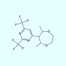 CC1OCCOC(C)C1c1cc(C(F)(F)F)nc(C(F)(F)F)n1